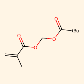 C=C(C)C(=O)OCOC(=O)C(C)(C)C